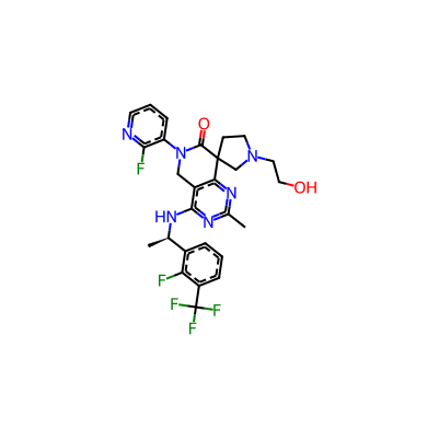 Cc1nc(N[C@H](C)c2cccc(C(F)(F)F)c2F)c2c(n1)C1(CCN(CCO)C1)C(=O)N(c1cccnc1F)C2